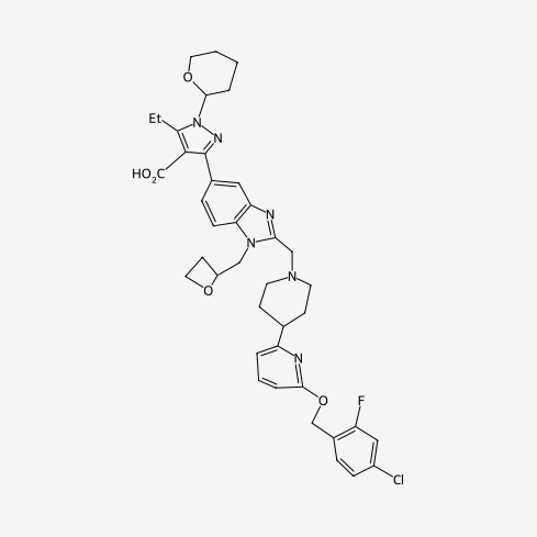 CCc1c(C(=O)O)c(-c2ccc3c(c2)nc(CN2CCC(c4cccc(OCc5ccc(Cl)cc5F)n4)CC2)n3CC2CCO2)nn1C1CCCCO1